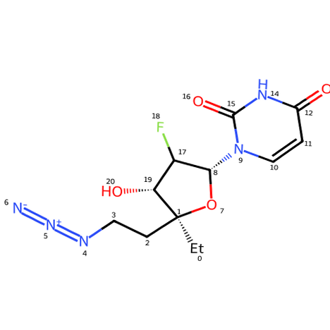 CC[C@@]1(CCN=[N+]=[N-])O[C@@H](n2ccc(=O)[nH]c2=O)C(F)[C@H]1O